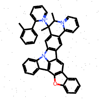 Cc1ccccc1-c1cccc[n+]1C1(C)c2cc3c(cc2-c2cccc[n+]2C1C)c1cc2c4ccccc4oc2c2c4ccccc4n3c12